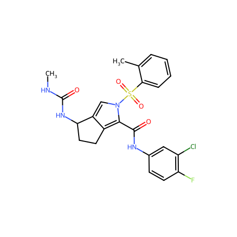 CNC(=O)NC1CCc2c1cn(S(=O)(=O)c1ccccc1C)c2C(=O)Nc1ccc(F)c(Cl)c1